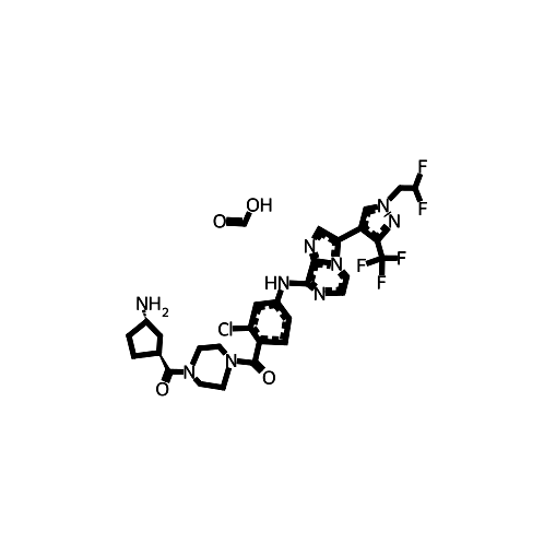 N[C@H]1CC[C@H](C(=O)N2CCN(C(=O)c3ccc(Nc4nccn5c(-c6cn(CC(F)F)nc6C(F)(F)F)cnc45)cc3Cl)CC2)C1.O=CO